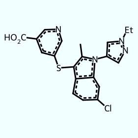 CCn1cc(-n2c(C)c(Sc3cncc(C(=O)O)c3)c3ccc(Cl)cc32)cn1